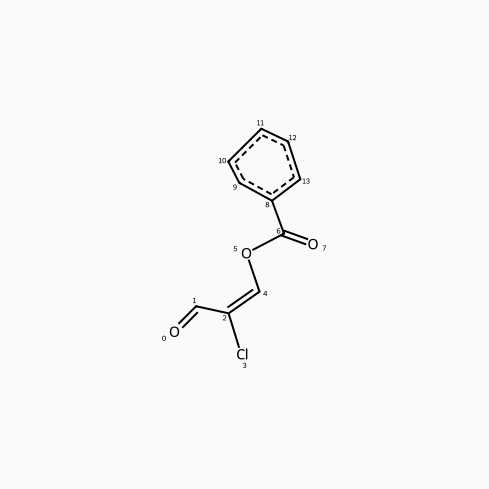 O=C/C(Cl)=C\OC(=O)c1ccccc1